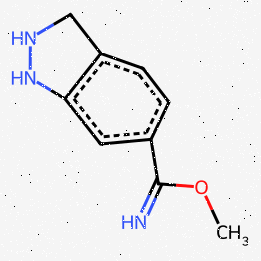 COC(=N)c1ccc2c(c1)NNC2